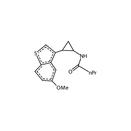 CCCC(=O)NC1CC1c1csc2ccc(OC)cc12